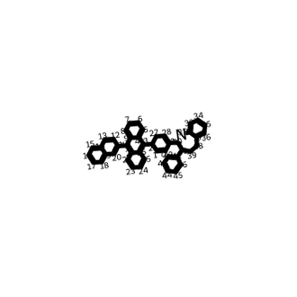 C1=CC(c2c3ccccc3c(-c3ccc4ccccc4c3)c3ccccc23)CC=C1C1=Nc2ccccc2CCC1c1ccccc1